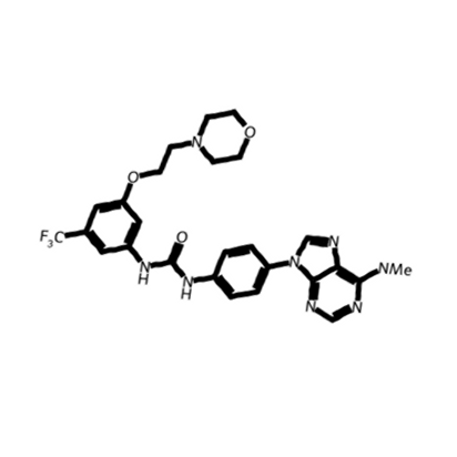 CNc1ncnc2c1ncn2-c1ccc(NC(=O)Nc2cc(OCCN3CCOCC3)cc(C(F)(F)F)c2)cc1